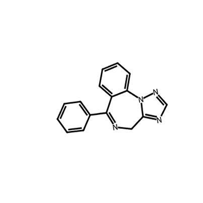 c1ccc(C2=NCc3ncnn3-c3ccccc32)cc1